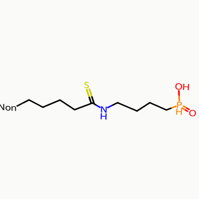 CCCCCCCCCCCCCC(=S)NCCCC[PH](=O)O